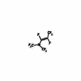 FC(=C(F)C(F)(F)F)N(C(F)(F)F)C(F)(F)F